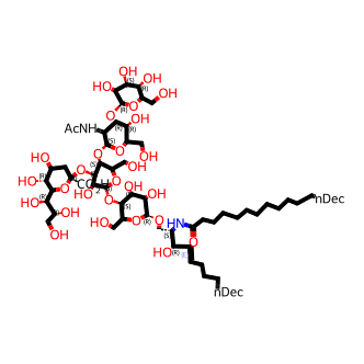 CCCCCCCCCCCCC/C=C/[C@@H](O)[C@H](CO[C@@H]1OC(CO)[C@@H](O[C@@H]2OC(CO)[C@H](O[C@@H]3OC(CO)[C@H](O)[C@H](O[C@@H]4OC(CO)[C@H](O)[C@H](O)C4O)C3NC(C)=O)[C@H](O[C@]3(C(=O)O)CC(O)[C@@H](O)C([C@H](O)[C@H](O)CO)O3)C2O)[C@H](O)C1O)NC(=O)CCCCCCCCCCCCCCCCCCCCC